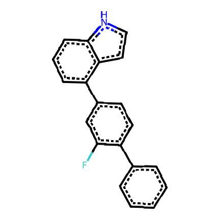 Fc1cc(-c2cccc3[nH]ccc23)ccc1-c1ccccc1